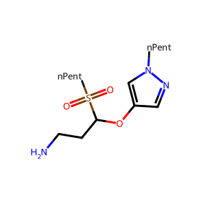 CCCCCn1cc(OC(CCN)S(=O)(=O)CCCCC)cn1